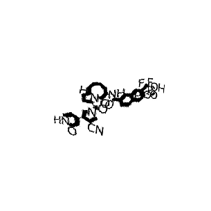 N#C[C@@H]1CN(C(=O)[C@@H]2CC[C@@H]3CCCC[C@H](NC(=O)c4ccc5ccc(C(F)(F)P(=O)(O)O)cc5c4)C(=O)N32)C[C@H]1c1cc[nH]c(=O)c1